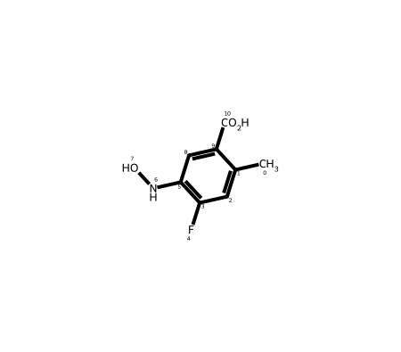 Cc1cc(F)c(NO)cc1C(=O)O